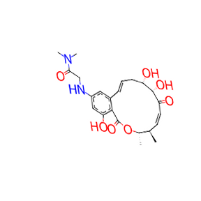 C[C@@H]1/C=C\C(=O)[C@@H](O)[C@@H](O)C/C=C/c2cc(NCC(=O)N(C)C)cc(O)c2C(=O)O[C@H]1C